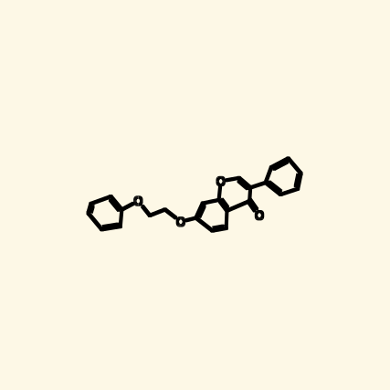 O=c1c(-c2ccccc2)coc2cc(OCCOc3ccccc3)ccc12